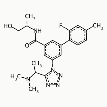 Cc1ccc(-c2cc(C(=O)N[C@@H](C)CO)cc(-n3nnnc3C(C)N(C)C)c2)c(F)c1